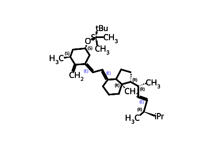 C=C1/C(=C/C=C2\CCC[C@@]3(C)C2CC[C@@H]3[C@H](C)/C=C/[C@H](C)C(C)C)C[C@@H](O[Si](C)(C)C(C)(C)C)C[C@@H]1C